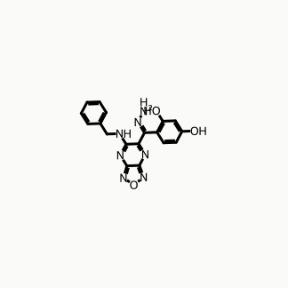 N/N=C(\c1ccc(O)cc1O)c1nc2nonc2nc1NCc1ccccc1